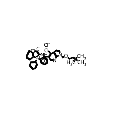 C[Si](C)(C)CCOCn1ccc2c(Cl)c(C(=O)NC(=C(Cl)Cl)[P+](c3ccccc3)(c3ccccc3)c3ccccc3)cnc21.[Cl-]